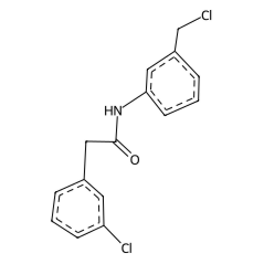 O=C(Cc1cccc(Cl)c1)Nc1cccc(CCl)c1